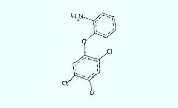 Nc1ccccc1Oc1cc(Cl)c(Cl)cc1Cl